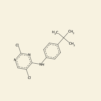 CC(C)(C)c1ccc(Nc2nc(Cl)ncc2Cl)cc1